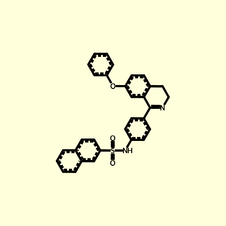 O=S(=O)(Nc1ccc(C2=NCCc3ccc(Oc4ccccc4)cc32)cc1)c1ccc2ccccc2c1